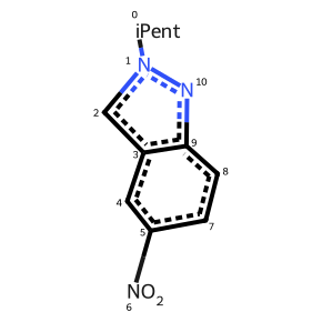 CCCC(C)n1cc2cc([N+](=O)[O-])ccc2n1